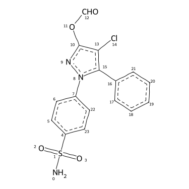 NS(=O)(=O)c1ccc(-n2nc(OC=O)c(Cl)c2-c2ccccc2)cc1